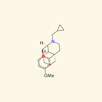 CC[C@@]12OCCC[C@@]13CCN(CC1CC1)[C@@H]2Cc1ccc(OC)cc13